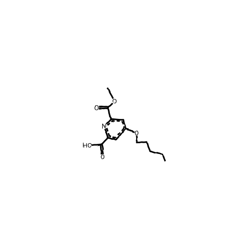 CCCCCOc1cc(C(=O)O)nc(C(=O)OC)c1